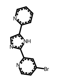 Brc1ccnc(-c2ncc(-c3ccccn3)[nH]2)c1